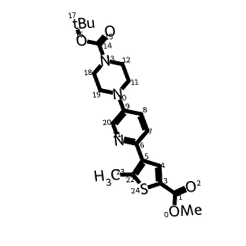 COC(=O)c1cc(-c2ccc(N3CCN(C(=O)OC(C)(C)C)CC3)cn2)c(C)s1